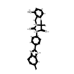 Cc1ccc2nc(-c3ccc(N4C(=O)N(Cc5ccccc5O)C(C)(C)C4=O)cc3)sc2c1